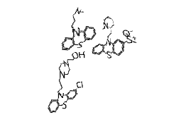 CN(C)CCCN1c2ccccc2Sc2ccccc21.CN1CCCCC1CCN1c2ccccc2Sc2ccc([S+](C)[O-])cc21.OCCN1CCN(CCCN2c3ccccc3Sc3ccc(Cl)cc32)CC1